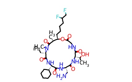 CC(C)C[C@H]1C(=O)N[C@@H](C2CCCCC2)C(=O)N[C@@H](CN)C(=O)N[C@@H](C(C)O)C(=O)NCC(=O)O[C@H](CCCCC(F)CF)[C@@H](C)C(=O)N1C